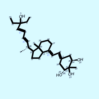 CCC(O)(/C=C/C=C/[C@@H](C)C1CCC2/C(=C/C=C3C[C@@H](O)C(C)(O)[C@H](O)C3)CCCC21C)CC